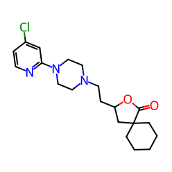 O=C1OC(CCN2CCN(c3cc(Cl)ccn3)CC2)CC12CCCCC2